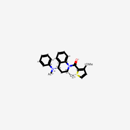 COc1ccsc1C(=O)N1c2ccccc2[C@@H](N(C(C)=O)c2ccccc2)C[C@H]1C